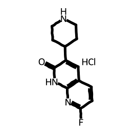 Cl.O=c1[nH]c2nc(F)ccc2cc1C1CCNCC1